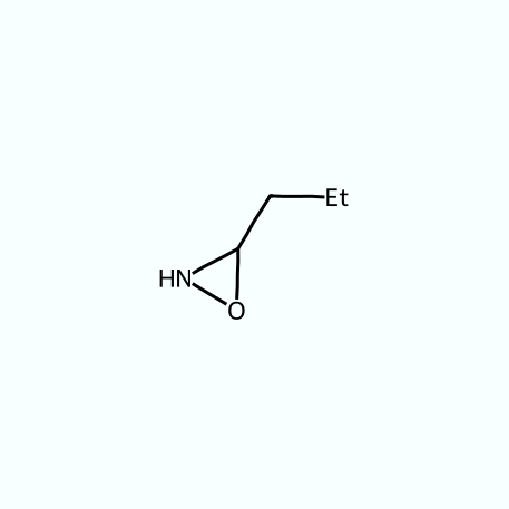 CCCC1NO1